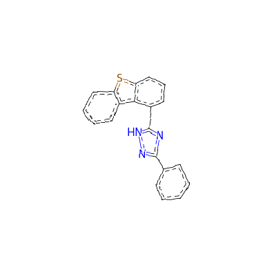 c1ccc(-c2n[nH]c(-c3cccc4sc5ccccc5c34)n2)cc1